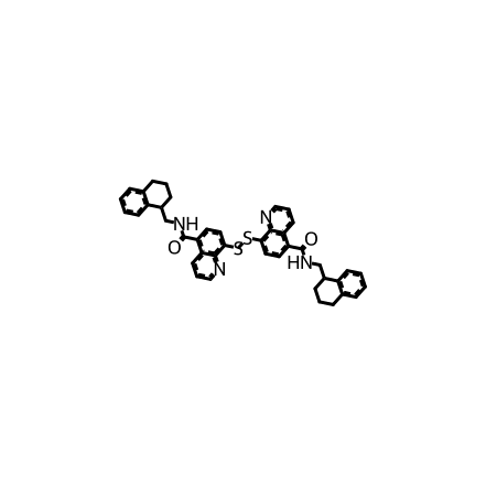 O=C(NCC1CCCc2ccccc21)c1ccc(SSc2ccc(C(=O)NCC3CCCc4ccccc43)c3cccnc23)c2ncccc12